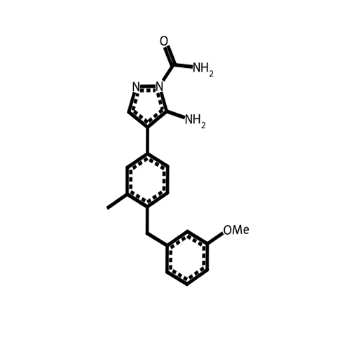 COc1cccc(Cc2ccc(-c3cnn(C(N)=O)c3N)cc2C)c1